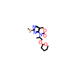 CSc1ncc2c(n1)N(C(C)COC1CCCCO1)C(=O)OC2